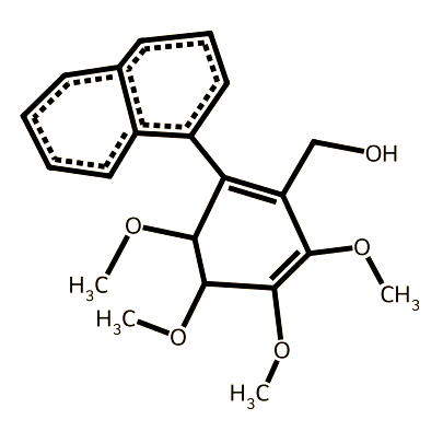 COC1=C(OC)C(OC)C(OC)C(c2cccc3ccccc23)=C1CO